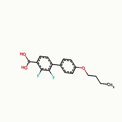 CCCCOc1ccc(-c2ccc(B(O)O)c(F)c2F)cc1